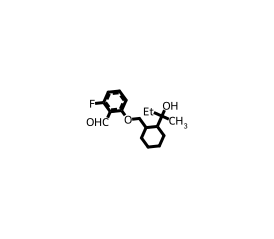 CCC(C)(O)C1CCCCC1COc1cccc(F)c1C=O